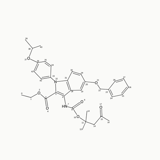 CCOC(=O)c1c(NC(=O)OC(C)(C)CC(C)=O)c2cc(OCc3ccccc3)ccc2n1-c1ccc(OC(C)C)cc1